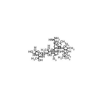 CC[C@H](C)[C@H](NC(=O)[C@@H](CCCNC(=N)N)NC(=O)[C@H](CC(C)C)NC(=O)[C@@H](NC(=O)OC(C)(C)C)[C@H](O)C(C)C)C(=O)N[C@H](C(=O)NCC(=O)N[C@H](C(=O)N[C@@H](CO)C(=O)O)[C@@H](C)O)[C@H](C)O